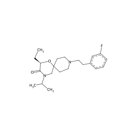 CC[C@H]1OC2(CCN(CCc3cccc(F)c3)CC2)CN(C(C)C)C1=O